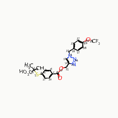 CC(C)(Sc1ccc(C(=O)OCc2cn(Cc3ccc(OC(F)(F)F)cc3)nn2)cc1)C(=O)O